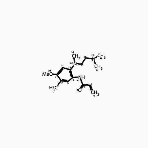 C=CC(=O)Nc1cc(C)c(OC)cc1N(C)CCN(C)C